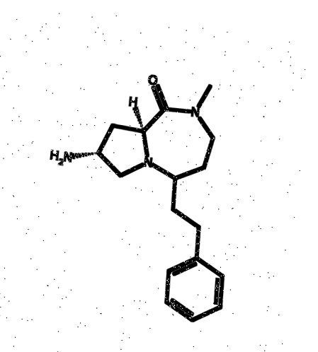 CN1CCC(CCc2ccccc2)N2C[C@H](N)C[C@H]2C1=O